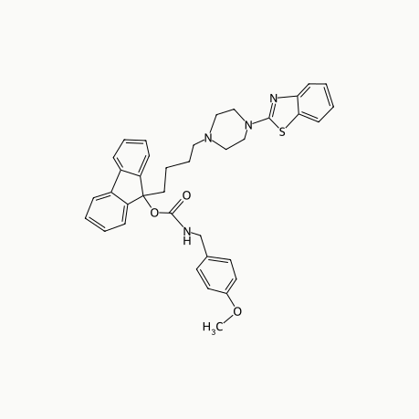 COc1ccc(CNC(=O)OC2(CCCCN3CCN(c4nc5ccccc5s4)CC3)c3ccccc3-c3ccccc32)cc1